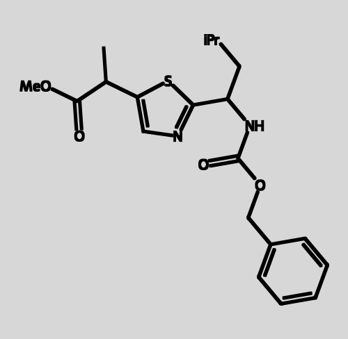 COC(=O)C(C)c1cnc(C(CC(C)C)NC(=O)OCc2ccccc2)s1